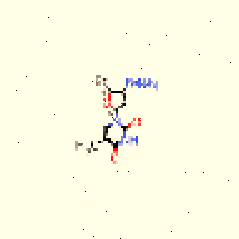 CC[C@@H]1O[C@H](n2cc(C)c(=O)[nH]c2=O)CC1N=[N+]=[N-]